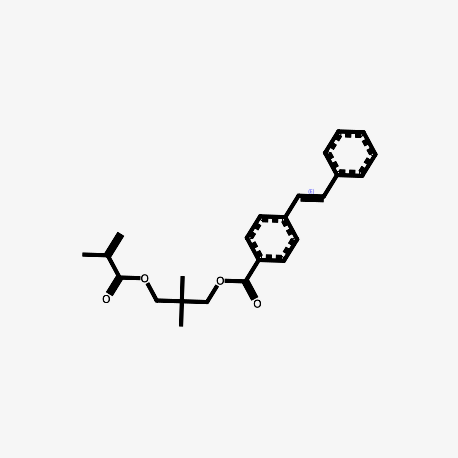 C=C(C)C(=O)OCC(C)(C)COC(=O)c1ccc(/C=C/c2ccccc2)cc1